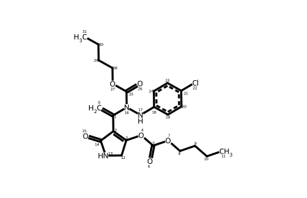 C=C(C1=C(OC(=O)OCCCC)CNC1=O)N(Nc1ccc(Cl)cc1)C(=O)OCCCC